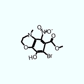 COC(=O)c1c(Br)c(O)c2c(c1[N+](=O)[O-])N(C)CCO2